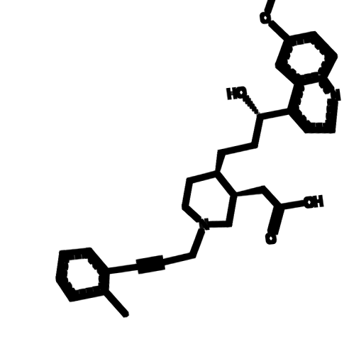 COc1ccc2nccc([C@@H](O)CC[C@@H]3CCN(CC#Cc4ccccc4C)C[C@@H]3CC(=O)O)c2c1